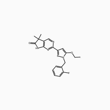 CCOc1cc(-c2ncc3c(n2)NC(=O)C3(C)C)nn1Cc1ccccc1F